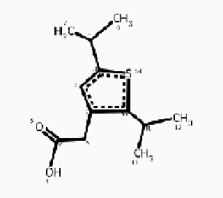 CC(C)c1cc(CC(=O)O)c(C(C)C)s1